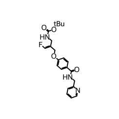 CC(C)(C)OC(=O)NCC(=CF)COc1ccc(C(=O)NCc2ccccn2)cc1